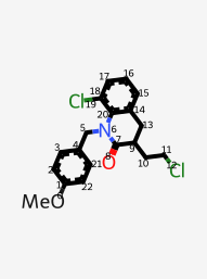 COc1ccc(CN2C(=O)C(CCCl)Cc3cccc(Cl)c32)cc1